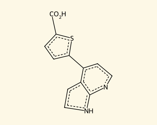 O=C(O)c1ccc(-c2ccnc3[nH]ccc23)s1